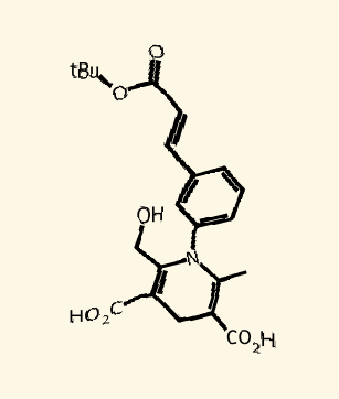 CC1=C(C(=O)O)CC(C(=O)O)=C(CO)N1c1cccc(C=CC(=O)OC(C)(C)C)c1